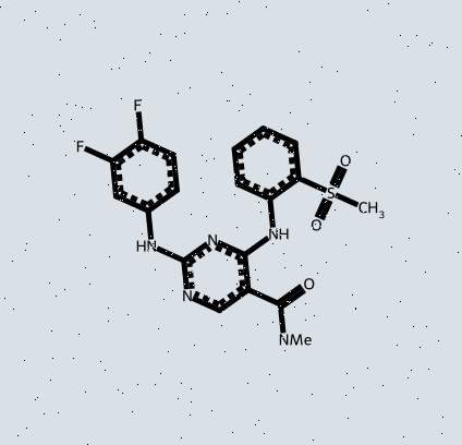 CNC(=O)c1cnc(Nc2ccc(F)c(F)c2)nc1Nc1ccccc1S(C)(=O)=O